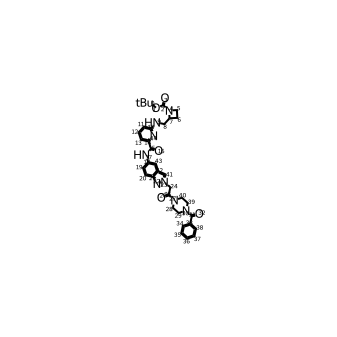 CC(C)(C)OC(=O)N1CCC1CNc1cccc(C(=O)Nc2ccc3nn(CC(=O)N4CCN(C(=O)c5ccccc5)CC4)cc3c2)n1